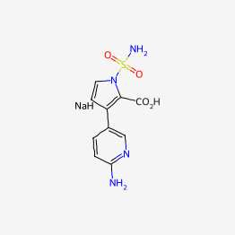 Nc1ccc(-c2ccn(S(N)(=O)=O)c2C(=O)O)cn1.[NaH]